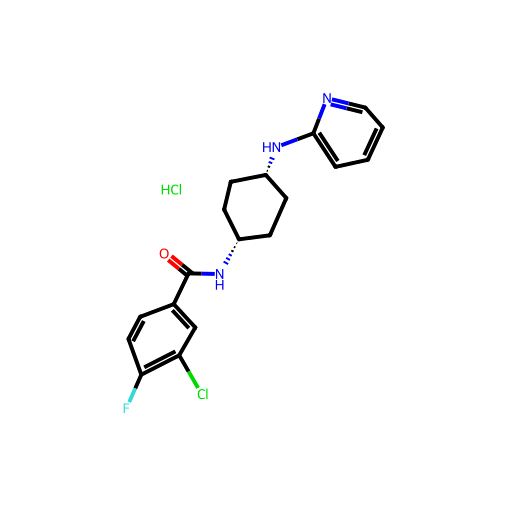 Cl.O=C(N[C@H]1CC[C@@H](Nc2ccccn2)CC1)c1ccc(F)c(Cl)c1